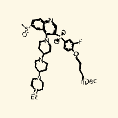 CCCCCCCCCCCCCCOc1ccc(S(=O)(=O)c2cnc3ccc([S@+](C)[O-])cc3c2N2CCC(N3CCC(N4CCN(CC)CC4)CC3)CC2)cc1F